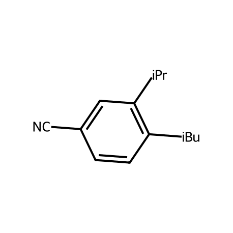 CCC(C)c1ccc(C#N)cc1C(C)C